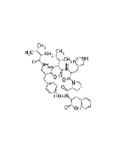 CCC(C)C(NC(=O)C(CNC(=O)C(N)C(C)C)Cc1ccc(O)cc1)C(=O)NC(CC1CNC=N1)C(=O)N1CCCC1C(=O)NC(Cc1ccccc1)C(=O)O